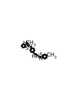 Cc1ccc2nc(NCCc3ccc(/N=C4\SC5CCC[C@H]5N4C)cc3)sc2c1